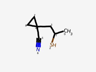 CC(S)CC1(C#N)CC1